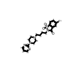 O=C1c2cc(F)ccc2S(=O)(=O)N1CCCCN1CCN(c2ncccn2)CC1